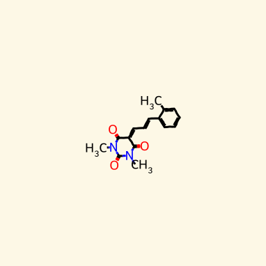 Cc1ccccc1/C=C/C=C1C(=O)N(C)C(=O)N(C)C1=O